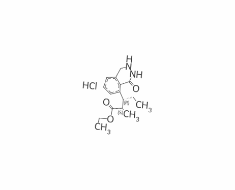 CCOC(=O)[C@@H](C)[C@@H](CC)c1cccc2c1C(=O)NNC2.Cl